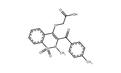 Cc1ccc(C(=O)C2=C(OCC(=O)O)c3ccccc3S(=O)(=O)N2C)cc1